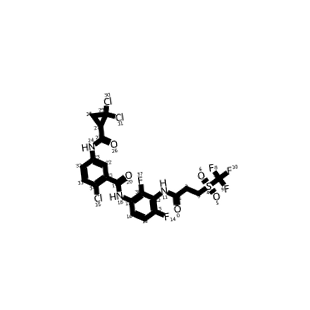 O=C(CCS(=O)(=O)C(F)(F)F)Nc1c(F)ccc(NC(=O)c2cc(NC(=O)C3CC3(Cl)Cl)ccc2Cl)c1F